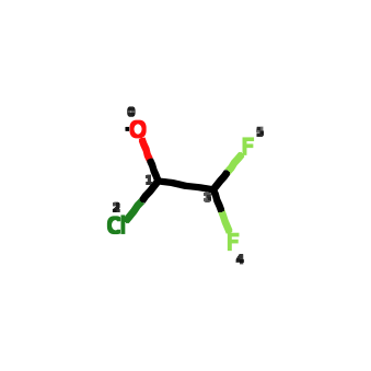 [O]C(Cl)C(F)F